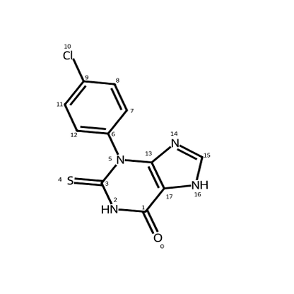 O=c1[nH]c(=S)n(-c2ccc(Cl)cc2)c2nc[nH]c12